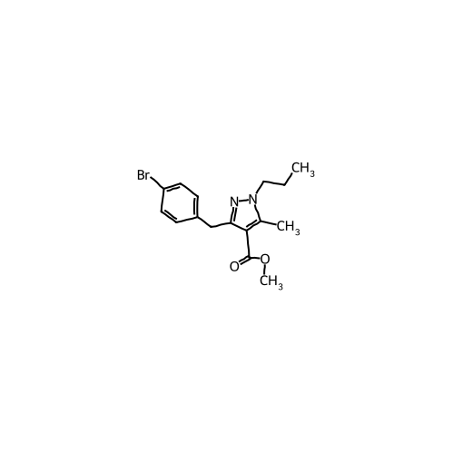 CCCn1nc(Cc2ccc(Br)cc2)c(C(=O)OC)c1C